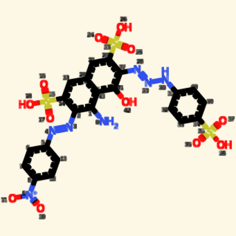 Nc1c(N=Nc2ccc([N+](=O)[O-])cc2)c(S(=O)(=O)O)cc2cc(S(=O)(=O)O)c(N=NNc3ccc(S(=O)(=O)O)cc3)c(O)c12